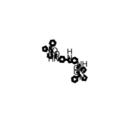 O=C(Nc1ccc(-c2cc3cc(NC(=O)[C@@H]4CCCN4C(=O)[C@@H](c4ccccc4)N4CCCC4)ccc3[nH]2)cc1)[C@@H]1CCCN1C(=O)[C@@H](c1ccccc1)N1CCCC1